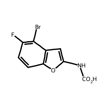 O=C(O)Nc1cc2c(Br)c(F)ccc2o1